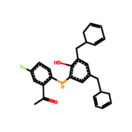 CC(=O)c1cc(F)ccc1Pc1cc(CC2C=CC=CC2)cc(CC2C=CC=CC2)c1O